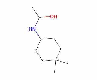 CC(O)NC1CCC(C)(C)CC1